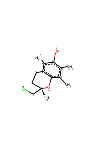 Cc1c(C)c2c(c(C)c1O)CC[C@@](C)(CCl)O2